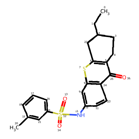 CCC1CCc2c(sc3cc(NS(=O)(=O)c4cccc(C)c4)ccc3c2=O)C1